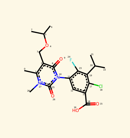 Cc1c(COC(C)C)c(=O)n(-c2cc(C(=O)O)c(Cl)c(C(C)C)c2F)c(=O)n1C